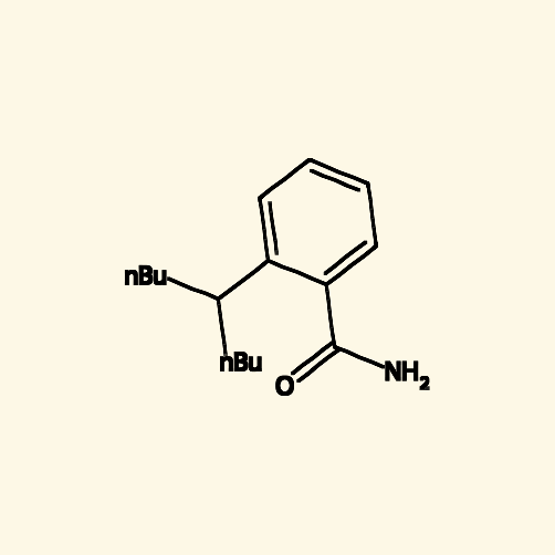 CCCCC(CCCC)c1ccccc1C(N)=O